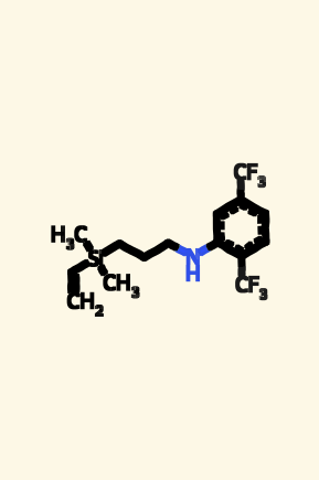 C=C[Si](C)(C)CCCNc1cc(C(F)(F)F)ccc1C(F)(F)F